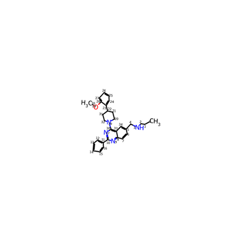 CCCNCc1ccc2nc(-c3ccccc3)nc(N3CCC(c4ccccc4OC)CC3)c2c1